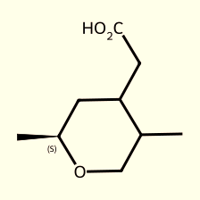 CC1CO[C@@H](C)CC1CC(=O)O